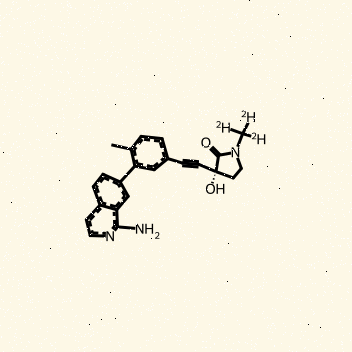 [2H]C([2H])([2H])N1CC[C@@](O)(C#Cc2ccc(C)c(-c3ccc4ccnc(N)c4c3)c2)C1=O